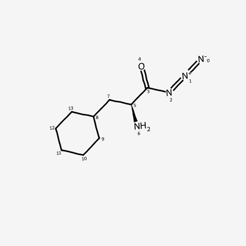 [N-]=[N+]=NC(=O)[C@@H](N)CC1CCCCC1